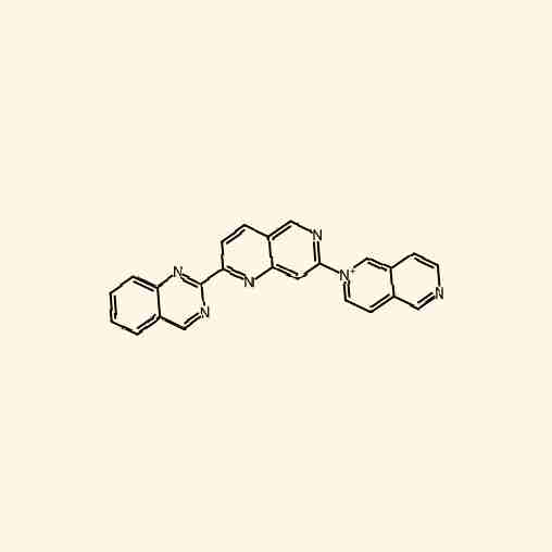 c1ccc2nc(-c3ccc4cnc(-[n+]5ccc6cnccc6c5)cc4n3)ncc2c1